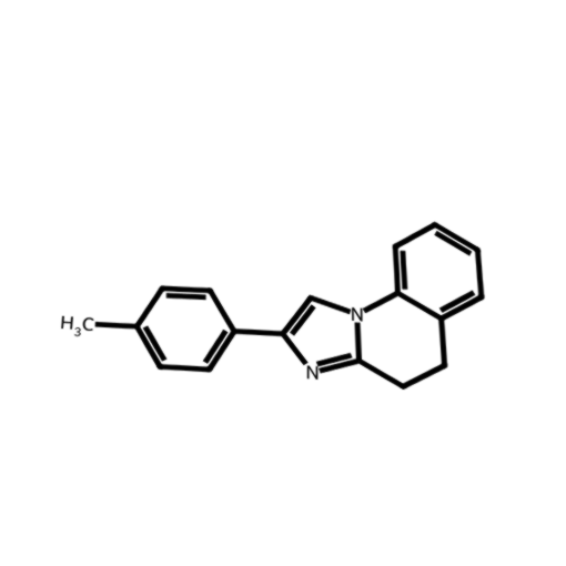 Cc1ccc(-c2cn3c(n2)CCc2ccccc2-3)cc1